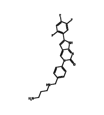 NCCCNCc1ccc(-n2cc3cc(-c4cc(F)c(F)cc4F)[nH]c3nc2=O)cc1